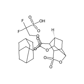 O=C(OCC(F)(F)S(=O)(=O)O)C1C2C3C[C@H]1C(OC(=O)C14CC5CC(CC(C5)C1)C4)C3OS2(=O)=O